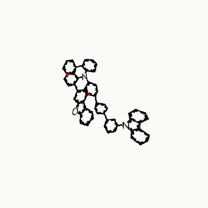 c1ccc(-c2ccccc2N(c2ccc(-c3ccc(-c4cccc(-n5c6ccccc6c6ccccc65)c4)cc3)cc2)c2ccccc2-c2ccc3c(c2)oc2ccccc23)cc1